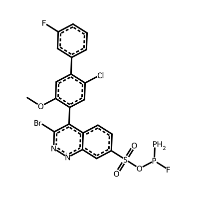 COc1cc(-c2cccc(F)c2)c(Cl)cc1-c1c(Br)nnc2cc(S(=O)(=O)OP(F)P)ccc12